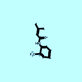 CC(C)=CC(=O)Nc1ccccc1C(F)(F)F